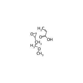 C=CC(=O)O.CC1CO1.COC